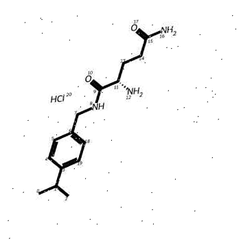 CC(C)c1ccc(CNC(=O)[C@@H](N)CCC(N)=O)cc1.Cl